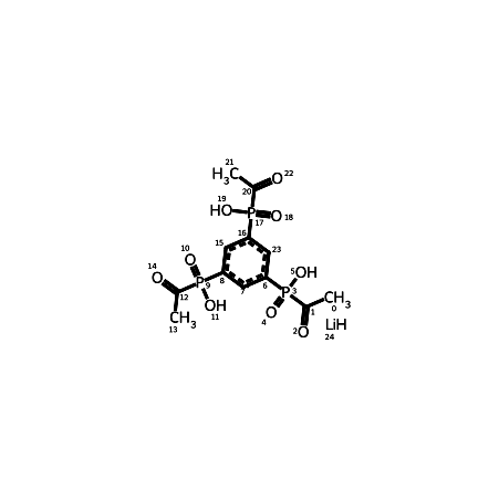 CC(=O)P(=O)(O)c1[c]c(P(=O)(O)C(C)=O)cc(P(=O)(O)C(C)=O)c1.[LiH]